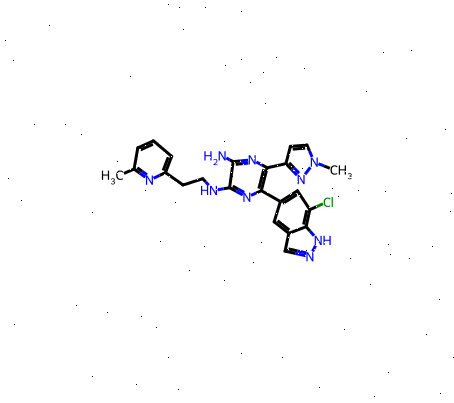 Cc1cccc(CCNc2nc(-c3cc(Cl)c4[nH]ncc4c3)c(-c3ccn(C)n3)nc2N)n1